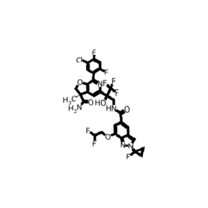 C[C@]1(C(N)=O)COc2c1cc(C(O)(CNC(=O)c1cc(OCC(F)F)c3nn(C4(F)CC4)cc3c1)C(F)(F)F)nc2-c1cc(Cl)c(F)cc1F